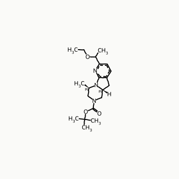 CCOC(C)c1ccc2c(n1)N1[C@H](C2)CN(C(=O)OC(C)(C)C)C[C@H]1C